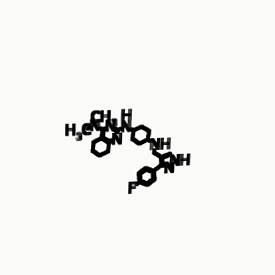 CN(C)c1nc(NC2CCC(NCc3c[nH]nc3-c3ccc(F)cc3)CC2)nc2c1CCCC2